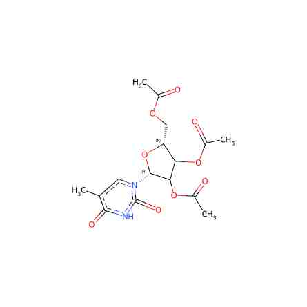 CC(=O)OC[C@H]1O[C@@H](n2cc(C)c(=O)[nH]c2=O)C(OC(C)=O)C1OC(C)=O